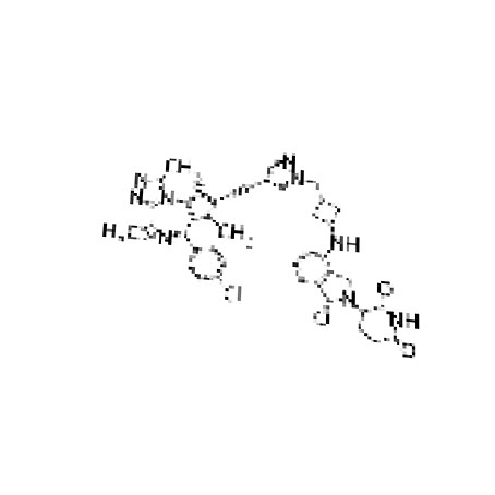 Cc1c(C#Cc2cnn(C[C@H]3C[C@H](Nc4cccc5c4CN(C4CCC(=O)NC4=O)C5=O)C3)c2)sc2c1C(c1ccc(Cl)cc1)=N[C@@H](C)c1nnc(C)n1-2